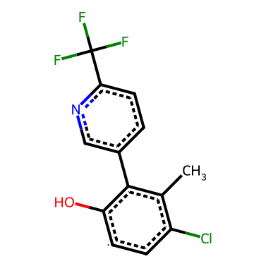 Cc1c(Cl)c[c]c(O)c1-c1ccc(C(F)(F)F)nc1